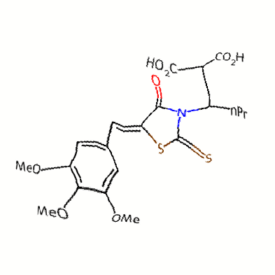 CCCC(C(C(=O)O)C(=O)O)N1C(=O)C(=Cc2cc(OC)c(OC)c(OC)c2)SC1=S